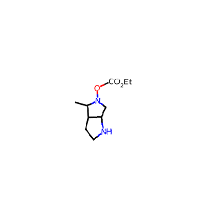 CCOC(=O)ON1CC2NCCC2C1C